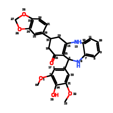 COc1cc(C2Nc3ccccc3NC3=C2C(=O)CC(c2ccc4c(c2)OCO4)C3)cc(OC)c1O